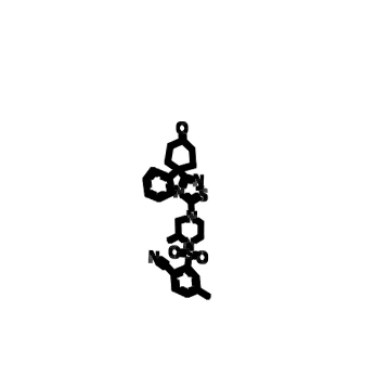 Cc1ccc(C#N)c(S(=O)(=O)N2CCN(c3nc(C4(c5ccccc5)CCC(=O)CC4)ns3)CC2C)c1